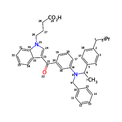 CC(C)Cc1ccc(C(C)N(Cc2ccccc2)c2cccc(C(=O)c3cn(CCCC(=O)O)c4ccccc34)c2)cc1